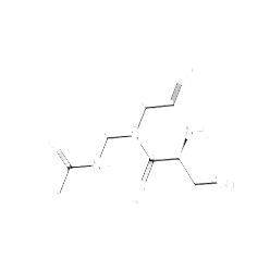 CC(=O)NCN(C[C]=O)C(=O)[C@@H](N)CS